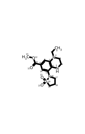 CCN1CCNc2c1cc(C(=O)OC)cc2N1CCCS1(=O)=O